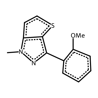 COc1ccccc1-c1nn(C)c2ccsc12